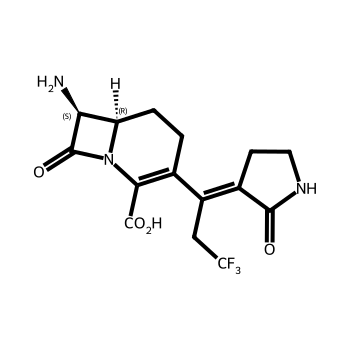 N[C@@H]1C(=O)N2C(C(=O)O)=C(C(CC(F)(F)F)=C3CCNC3=O)CC[C@H]12